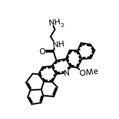 COc1c2ccccc2cc2c(C(=O)NCCN)c3cc4c5c(c3nc12)C=CC1=CC=CC(=CC4)C15